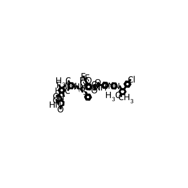 CC1CN(CC[C@H](CSc2ccccc2)Nc2ccc(S(=O)(=O)NC(=O)c3ccc(N4CCN(CC5=C(c6ccc(Cl)cc6)CCC(C)(C)C5)CC4)cc3)cc2S(=O)(=O)C(F)(F)F)CC(C)N1Cc1cc2c(cc1F)C(=O)N(C1CCC(=O)NC1=O)C2